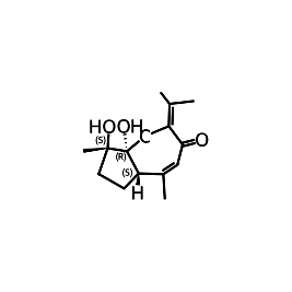 CC1=CC(=O)C(=C(C)C)C[C@@]2(O)[C@H]1CC[C@]2(C)O